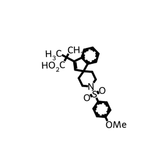 COc1ccc(S(=O)(=O)N2CCC3(C=C(C(C)(C)C(=O)O)c4ccccc43)CC2)cc1